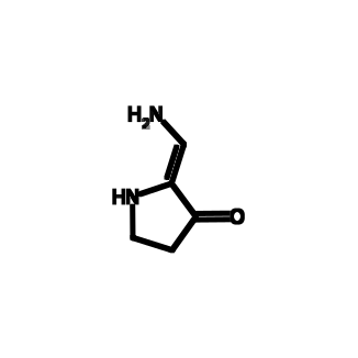 N/C=C1\NCCC1=O